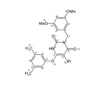 COc1cc(Cn2c(=O)[nH]c(Oc3cc(C)cc(C)c3)c(C(C)C)c2=O)cc(OC)c1